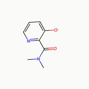 CN(C)C(=O)c1ncccc1[O]